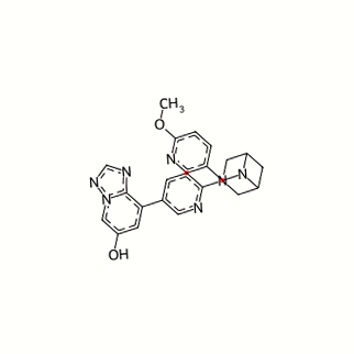 COc1ccc(CN2C3CC2CN(c2ccc(-c4cc(O)cn5ncnc45)cn2)C3)cn1